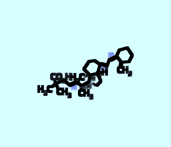 C=C1CCCC/C1=C/C=C1\CCC[C@]2(C)[C@@H]([C@H](C)/C=C/CC(C)(C)C(=O)O)CC[C@@H]12